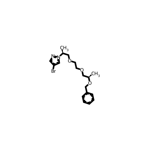 C[C@H](COCCOC[C@H](C)n1cc(Br)cn1)OCc1ccccc1